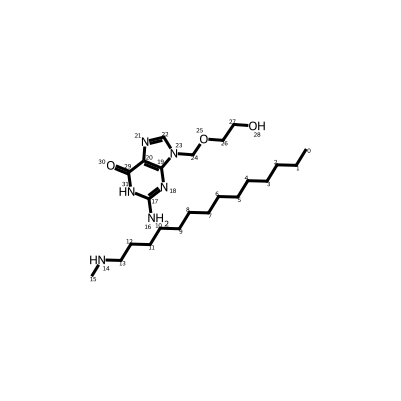 CCCCCCCCCCCCCCNC.Nc1nc2c(ncn2COCCO)c(=O)[nH]1